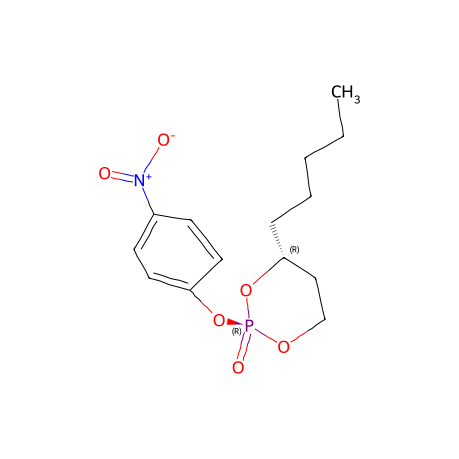 CCCCC[C@@H]1CCO[P@@](=O)(Oc2ccc([N+](=O)[O-])cc2)O1